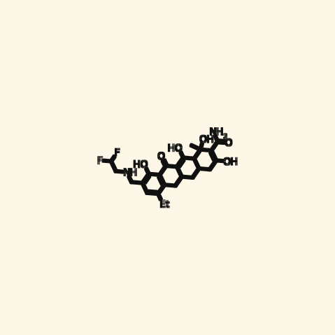 CCc1cc(CNCC(F)F)c(O)c2c1CC1CC3CC(O)=C(C(N)=O)C(C)(O)C3C(O)=C1C2=O